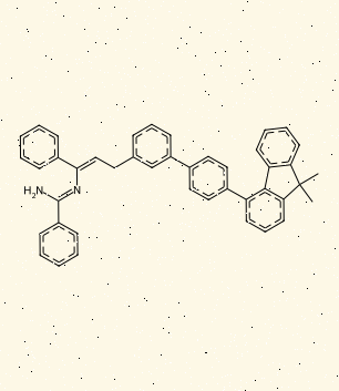 CC1(C)c2ccccc2-c2c(-c3ccc(-c4cccc(C/C=C(\N=C(/N)c5ccccc5)c5ccccc5)c4)cc3)cccc21